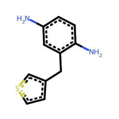 Nc1ccc(N)c(Cc2ccsc2)c1